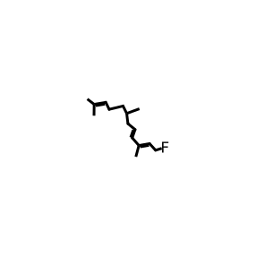 CC(C)=CCCC(C)CC=CC(C)=CCF